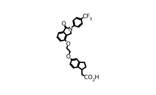 O=C(O)CC1CCc2cc(OCCOc3cccc4c3CN(c3ccc(C(F)(F)F)cc3)C4=O)ccc21